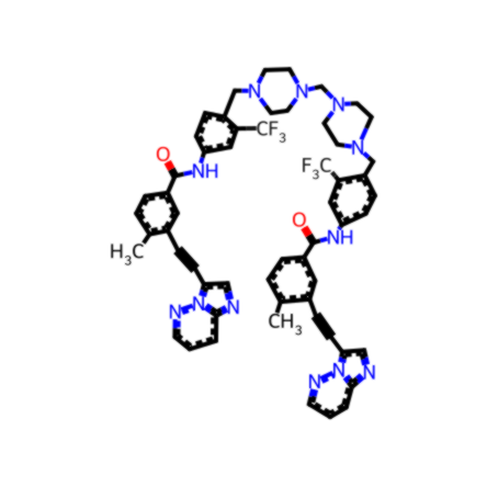 Cc1ccc(C(=O)Nc2ccc(CN3CCN(CN4CCN(Cc5ccc(NC(=O)c6ccc(C)c(C#Cc7cnc8cccnn78)c6)cc5C(F)(F)F)CC4)CC3)c(C(F)(F)F)c2)cc1C#Cc1cnc2cccnn12